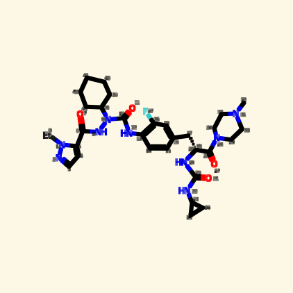 CCn1nccc1C(=O)NN(C(=O)Nc1ccc(C[C@@H](NC(=O)NC2CC2)C(=O)N2CCN(C)CC2)cc1F)C1CCCCC1